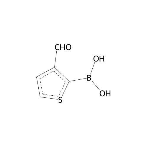 O=Cc1ccsc1B(O)O